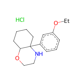 CCOc1cccc(C23CCCCC2OCCN3)c1.Cl